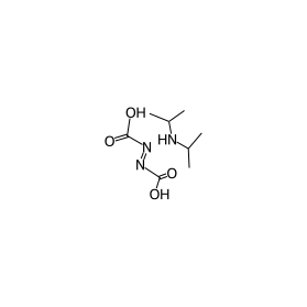 CC(C)NC(C)C.O=C(O)N=NC(=O)O